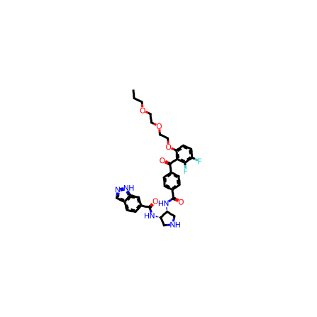 CCCOCCOCCOc1ccc(F)c(F)c1C(=O)c1ccc(C(=O)N[C@@H]2CNC[C@@H]2NC(=O)c2ccc3cn[nH]c3c2)cc1